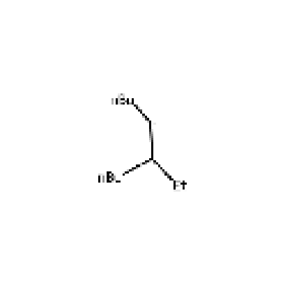 CCCC[CH]C(CC)CCCC